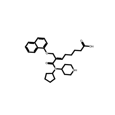 O=C(O)CCCC/C=C(\COc1cccc2ccccc12)C(=O)N(C1CCCC1)C1CCNCC1